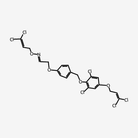 ClC(Cl)=CCO/N=C/COc1ccc(COc2c(Cl)cc(OCC=C(Cl)Cl)cc2Cl)cc1